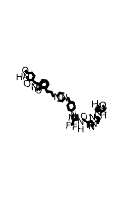 O=C1CCC(c2noc3c(CCCN4CCN(CC5CCC(n6cc(NC(=O)c7cnn8ccc(N9C[C@H]%10C[C@@H]9CO%10)nc78)c(C(F)F)n6)CC5)CC4)cccc23)C(=O)N1